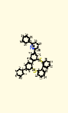 c1ccc(-c2ccc3c(c2)Sc2ccccc2-c2ccccc2Sc2cc(-c4cccc(-c5ccccc5)n4)ccc2-3)cc1